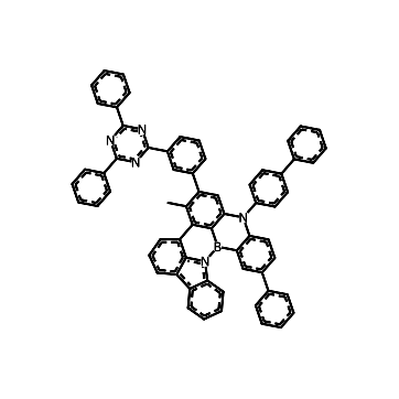 Cc1c(-c2cccc(-c3nc(-c4ccccc4)nc(-c4ccccc4)n3)c2)cc2c3c1-c1cccc4c5ccccc5n(c14)B3c1cc(-c3ccccc3)ccc1N2c1ccc(-c2ccccc2)cc1